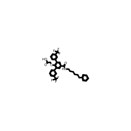 O=C(O)COc1c(-c2cccc(C(F)(F)F)c2)cc(C(=O)NCCCCCCc2ccccc2)cc1-c1cccc(C(F)(F)F)c1